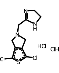 Cl.Cl.Clc1sc(Cl)c2c1CN(CC1=NCCN1)C2